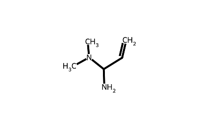 C=CC(N)N(C)C